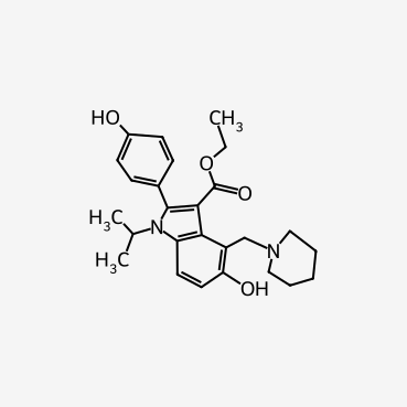 CCOC(=O)c1c(-c2ccc(O)cc2)n(C(C)C)c2ccc(O)c(CN3CCCCC3)c12